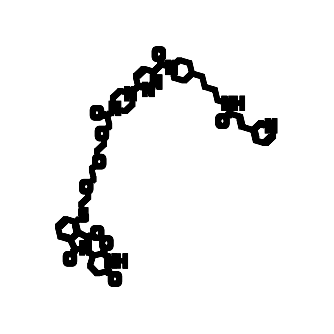 O=C(/C=C/c1cccnc1)NCCCCC1CCN(C(=O)c2ccc(N3CCN(C(=O)COCCOCCOCCSc4cccc5c4C(=O)N(C4CCC(=O)NC4=O)C5=O)CC3)nn2)CC1